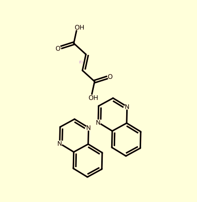 O=C(O)/C=C/C(=O)O.c1ccc2nccnc2c1.c1ccc2nccnc2c1